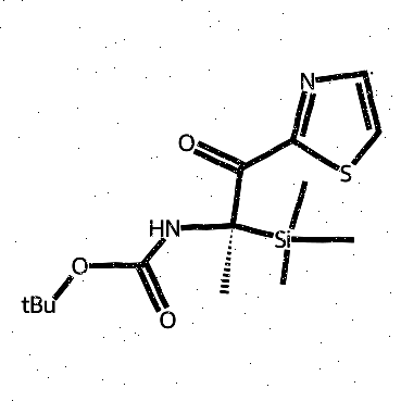 CC(C)(C)OC(=O)N[C@@](C)(C(=O)c1n[c]cs1)[Si](C)(C)C